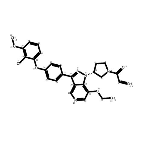 C=CC(=O)N1CC[C@@H](n2nc(-c3ccc(Oc4cccc(OC)c4Cl)cc3)c3cncc(OCC)c32)C1